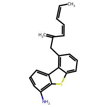 C=C(/C=C\C=C/C)Cc1cccc2sc3c(N)cccc3c12